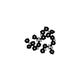 c1ccc(-c2nc(-c3ccc4sc5ccc(-c6cc(-c7ccc(-c8nc(-c9ccccc9)nc(-c9ccc%10sc%11cccc(-c%12cccc%13c%12c%12ccccc%12n%13-c%12ccccc%12)c%11c%10c9)n8)c8sc9ccccc9c78)cc7c6c6ccccc6n7-c6ccccc6)cc5c4c3)nc(-c3cccc4c3sc3ccccc34)n2)cc1